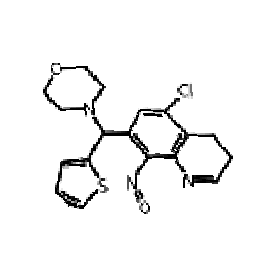 O=Nc1c(C(c2cccs2)N2CCOCC2)cc(Cl)c2c1N=CCC2